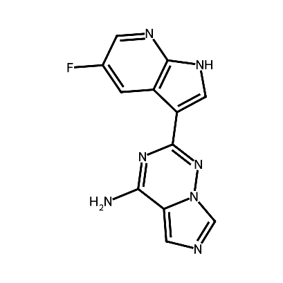 Nc1nc(-c2c[nH]c3ncc(F)cc23)nn2cncc12